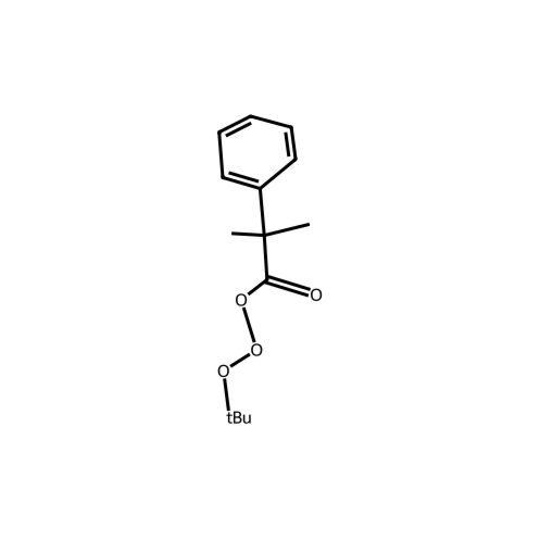 CC(C)(C)OOOC(=O)C(C)(C)c1ccccc1